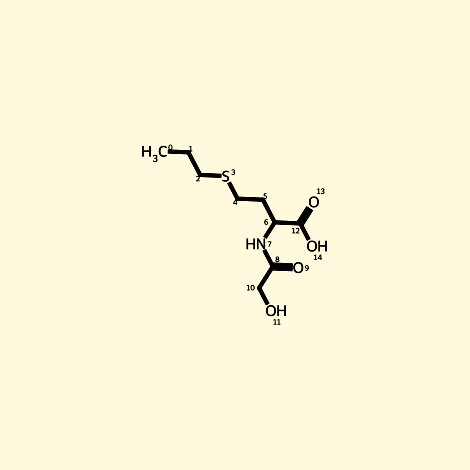 CCCSCCC(NC(=O)CO)C(=O)O